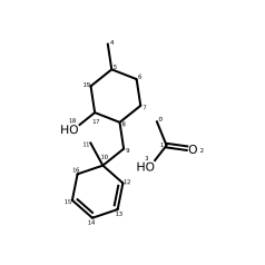 CC(=O)O.CC1CCC(CC2(C)C=CC=CC2)C(O)C1